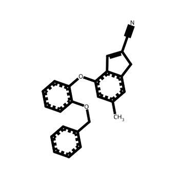 Cc1cc2c(c(Oc3ccccc3OCc3ccccc3)c1)C=C(C#N)C2